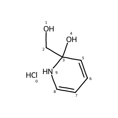 Cl.OCC1(O)C=CC=CN1